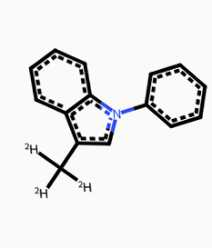 [2H]C([2H])([2H])c1cn(-c2ccccc2)c2ccccc12